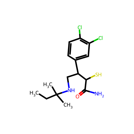 CCC(C)(C)NCC(c1ccc(Cl)c(Cl)c1)C(S)C(N)=O